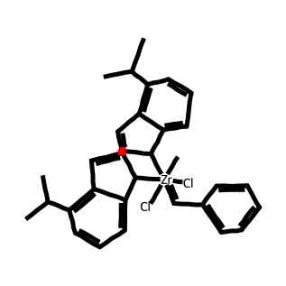 CC(C)c1cccc2c1C=C[CH]2[Zr]([CH3])([Cl])([Cl])(=[CH]c1ccccc1)[CH]1C=Cc2c(C(C)C)cccc21